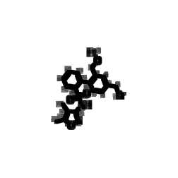 CCOCc1cc(CBr)ccc1-c1ccccc1S(=O)(=O)Nc1noc(C)c1C